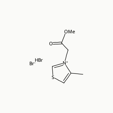 Br.COC(=O)C[n+]1cscc1C.[Br-]